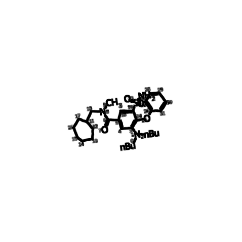 CCCCN(CCCC)c1cc(C(=O)N(C)CC2CCCCCC2)cc(S(N)(=O)=O)c1Oc1ccccc1